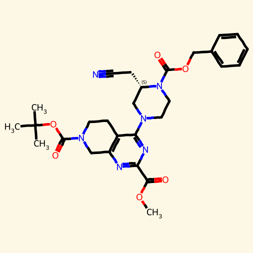 COC(=O)c1nc2c(c(N3CCN(C(=O)OCc4ccccc4)[C@@H](CC#N)C3)n1)CCN(C(=O)OC(C)(C)C)C2